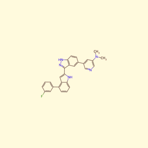 CN(C)c1cncc(-c2ccc3[nH]nc(-c4cc5c(-c6cccc(F)c6)cccc5[nH]4)c3c2)c1